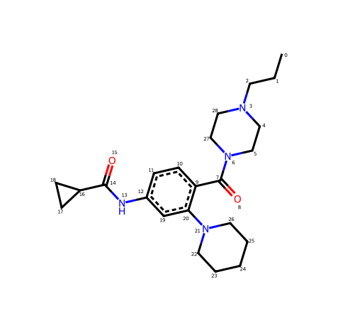 CCCN1CCN(C(=O)c2ccc(NC(=O)C3CC3)cc2N2CCCCC2)CC1